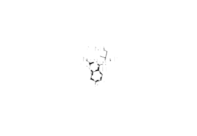 CCCC[C@](C)(CNC(C)=O)Nc1nc(N)nc2cc(F)ccc12